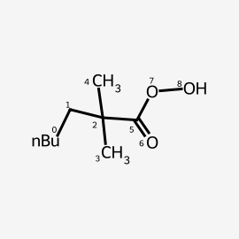 CCCCCC(C)(C)C(=O)OO